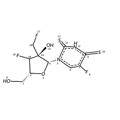 OC[C@H]1O[C@@H](n2cc(F)c(=S)[nH]c2=S)[C@@](O)(CF)C1F